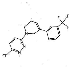 FC(F)(F)c1cccc(C2=CCCN(c3ccc(Cl)nn3)C2)c1